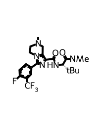 CNC(=O)[C@@H](NC(=O)c1nc(-c2ccc(F)c(C(F)(F)F)c2)n2c1CN(C)CC2)C(C)(C)C